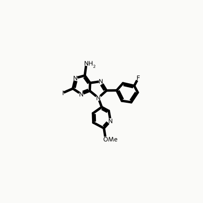 COc1ccc(-n2c(-c3cccc(F)c3)nc3c(N)nc(I)nc32)cn1